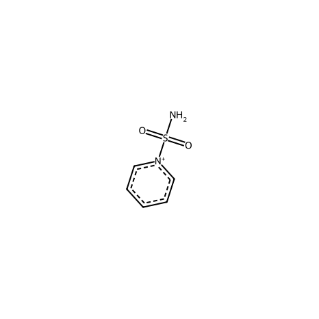 NS(=O)(=O)[n+]1ccccc1